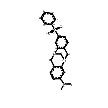 CN(C)c1ccc2c(c1)N1Cc3ccc(S(=O)(=O)c4ccccc4)cc3N(C2)C1